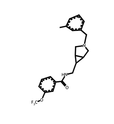 Cc1cccc(CN2CC3C(CNC(=O)c4cccc(OC(F)(F)F)c4)C3C2)c1